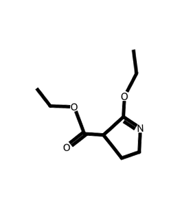 CCOC(=O)C1CCN=C1OCC